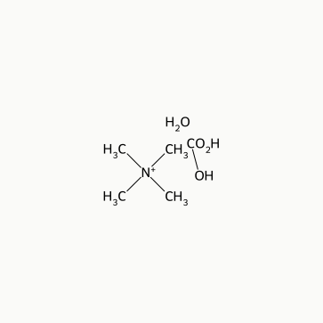 C[N+](C)(C)C.O.O=C(O)O